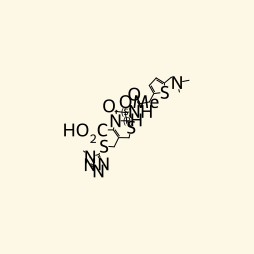 CO[C@@]1(NC(=O)Cc2ccc(CN(C)C)s2)C(=O)N2C(C(=O)O)=C(CSc3nnnn3C)CS[C@@H]21